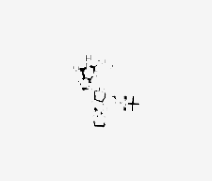 CC(C)(C)[Si](C)(C)OC[C@H]1O[C@@H](n2cnc3c(=O)[nH]c(N)nc32)[C@H](F)[C@@H]1OP1(=S)SCCS1